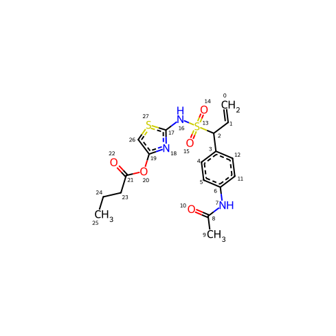 C=CC(c1ccc(NC(C)=O)cc1)S(=O)(=O)Nc1nc(OC(=O)CCC)cs1